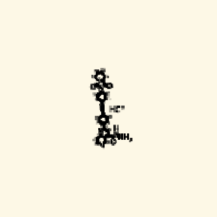 Cl.NNC(=O)c1cc(-c2ccc(C#Cc3ccc(N4C(=O)C5CCCCN5C4=O)cc3)cc2)nc2ccncc12